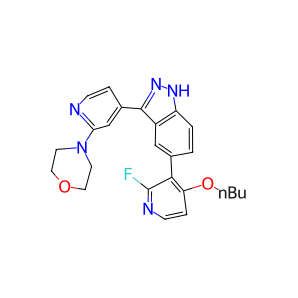 CCCCOc1ccnc(F)c1-c1ccc2[nH]nc(-c3ccnc(N4CCOCC4)c3)c2c1